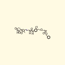 CC1=C(/C=C/CNC(=O)Nc2ccc(CCOCCN(C)C(=O)OCc3ccccc3)c(Cl)c2)CN(C2CCC(=O)NC2=O)C1=O